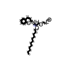 CCCCCCCCCCCCO/C(=C/NC1C=Cc2ccccc2O1)COCC=C=O